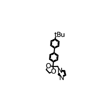 CC(C)(C)c1ccc(-c2ccc(C3(Cn4ccnc4)OCCO3)cc2)cc1